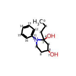 CCCC1(O)CC(O)CCN1c1ccccc1